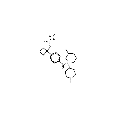 CC1CCC[N+](C(=O)c2ccc(C3(CN(C)S(C)(=O)=O)CCC3)cc2)(C2CCNCC2)C1